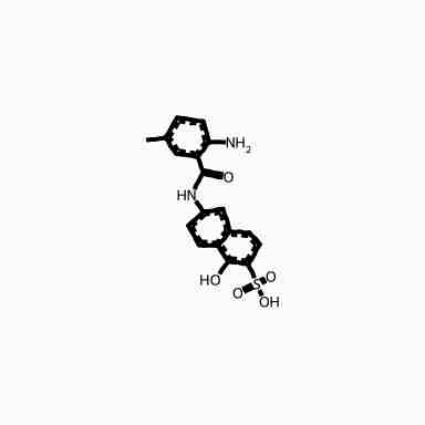 Cc1ccc(N)c(C(=O)Nc2ccc3c(O)c(S(=O)(=O)O)ccc3c2)c1